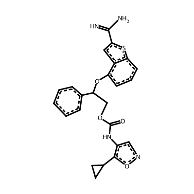 N=C(N)c1cc2c(OC(COC(=O)Nc3cnoc3C3CC3)c3ccccc3)cccc2s1